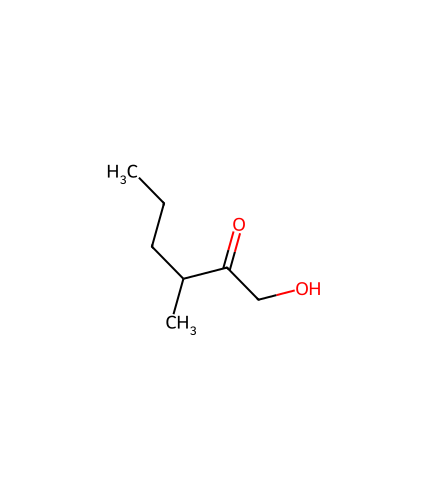 CCCC(C)C(=O)CO